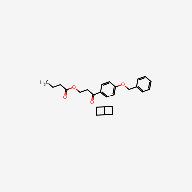 C1CC2CCC12.CCCC(=O)OCCC(=O)c1ccc(OCc2ccccc2)cc1